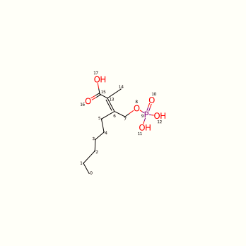 CCCCCCC(COP(=O)(O)O)=C(C)C(=O)O